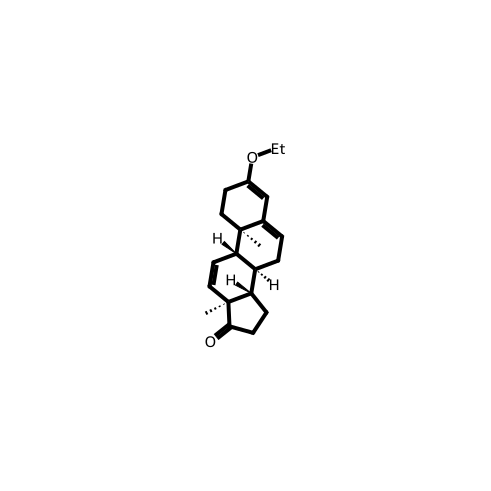 CCOC1=CC2=CC[C@@H]3[C@H](C=C[C@]4(C)C(=O)CC[C@@H]34)[C@@]2(C)CC1